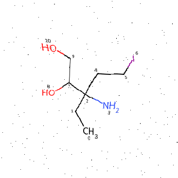 CCC(N)(CCI)C(O)CO